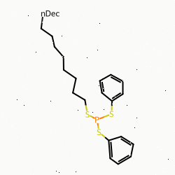 CCCCCCCCCCCCCCCCCCSP(Sc1ccccc1)Sc1ccccc1